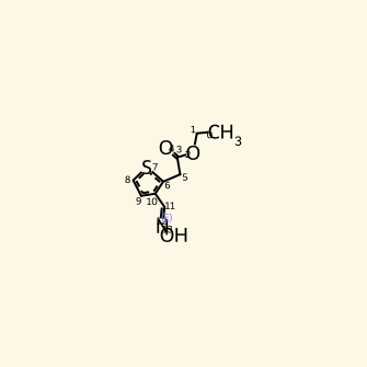 CCOC(=O)Cc1sccc1/C=N/O